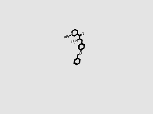 CCCN1CCCC(C(=O)C(N)Cc2ccc(OCc3ccccc3)cc2)C1